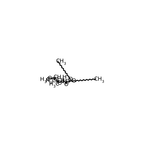 CCCCCCCCCCCCCCOCC(COC(=O)NCCOC(C)(C)COC(C)(C)CCOC)OCCCCCCCCCCCCCC